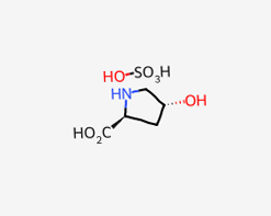 O=C(O)[C@@H]1C[C@@H](O)CN1.O=S(=O)(O)O